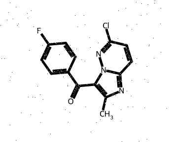 Cc1nc2ccc(Cl)nn2c1C(=O)c1ccc(F)cc1